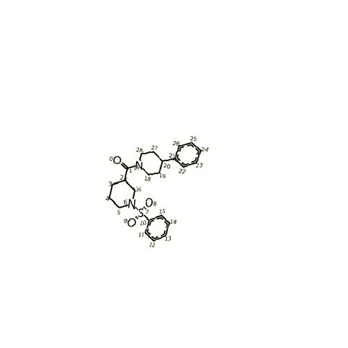 O=C(C1CCCN(S(=O)(=O)c2ccccc2)C1)N1CCC(c2ccccc2)CC1